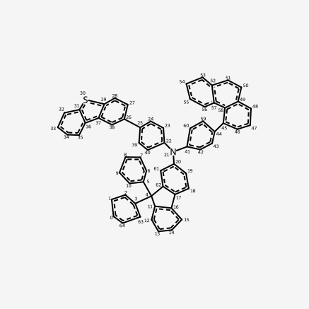 c1ccc(C2(c3ccccc3)c3ccccc3-c3ccc(N(c4ccc(-c5ccc6sc7ccccc7c6c5)cc4)c4ccc(-c5cccc6ccc7ccccc7c56)cc4)cc32)cc1